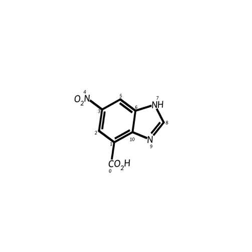 O=C(O)c1cc([N+](=O)[O-])cc2[nH]cnc12